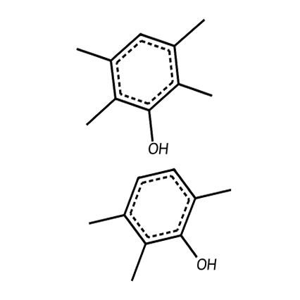 Cc1cc(C)c(C)c(O)c1C.Cc1ccc(C)c(O)c1C